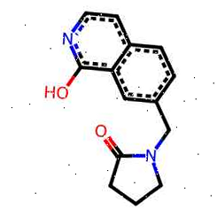 O=C1CCCN1Cc1ccc2ccnc(O)c2c1